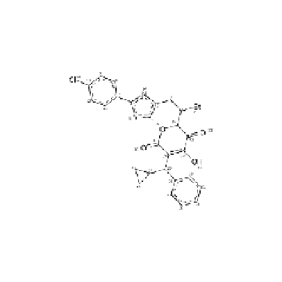 CCC(Cc1csc(-c2ccc(Cl)cc2)n1)C1OC(=O)C(C(c2ccccc2)C2CC2)=C(O)C1=O